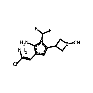 N#CB1CC(c2cc(/C=C(\N)Cl)c(N)n2C(F)F)C1